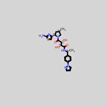 C[C@@H]1C[C@H](c2csc(N)n2)N(C(=O)[C@H](O)[C@@H](O)C(=O)N[C@H](C)c2ccc(-n3cccn3)cc2)C1